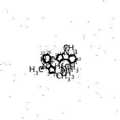 CC1=CC2C(=[C]1[Hf]([C]1=C3c4ccccc4N(C)C3C=C1C)[SiH](C)C)c1ccccc1N2C